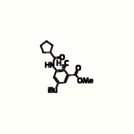 CCC(C)c1cc(NC(=O)C2CCCC2)c(C)c(C(=O)OC)c1